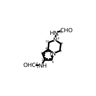 O=CNc1cc2n(c1)CCN(NC=O)C2